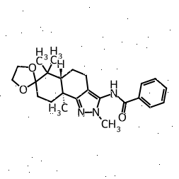 Cn1nc2c(c1NC(=O)c1ccccc1)CC[C@H]1C(C)(C)C3(CC[C@]21C)OCCO3